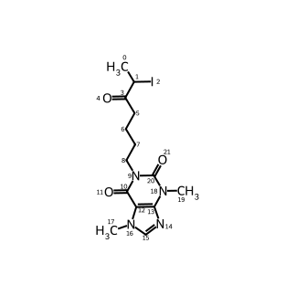 CC(I)C(=O)CCCCn1c(=O)c2c(ncn2C)n(C)c1=O